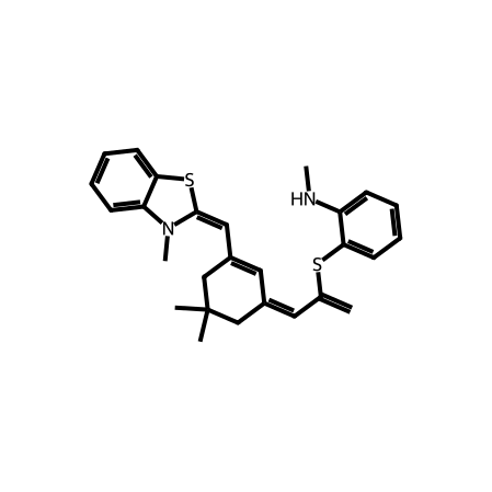 C=C(/C=C1C=C(/C=C2/Sc3ccccc3N2C)CC(C)(C)C\1)Sc1ccccc1NC